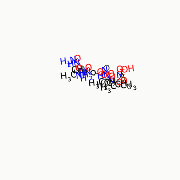 CC[C@H](C)[C@H](NC(=O)[C@H]1CCCCN1C(=O)OCc1ccc(NC(=O)[C@H](CCCNC(N)=O)NC(=O)[C@@H](N)C(C)C)cc1)C(=O)N(C)[C@H](C[C@@H](OC(C)=O)c1nc(C(=O)O)cs1)C(C)C